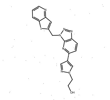 OCCn1cc(-c2ccc3nnn(Cc4cc5ncccc5s4)c3n2)cn1